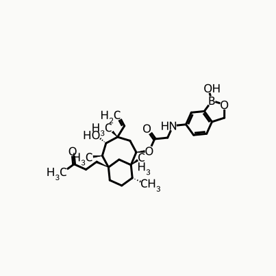 C=C[C@]1(C)C[C@@H](OC(=O)CNc2ccc3c(c2)B(O)OC3)[C@@]2(C)C[C@](CCC(C)=O)(CC[C@H]2C)[C@@H](C)[C@@H]1O